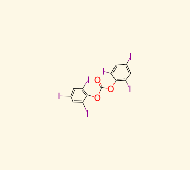 O=C(Oc1c(I)cc(I)cc1I)Oc1c(I)cc(I)cc1I